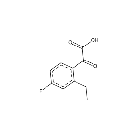 CCc1cc(F)ccc1C(=O)C(=O)O